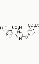 CCOC(=O)[C@H]1CCC[C@H](Oc2cnc(-c3onc(C)c3C(=O)O)cn2)C1